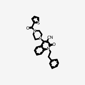 N#Cc1c(N2CCN(C(=O)c3cccs3)CC2)c2ccccc2n(CCc2ccccc2)c1=O